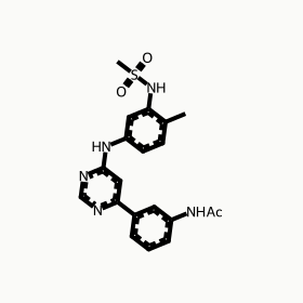 CC(=O)Nc1cccc(-c2cc(Nc3ccc(C)c(NS(C)(=O)=O)c3)ncn2)c1